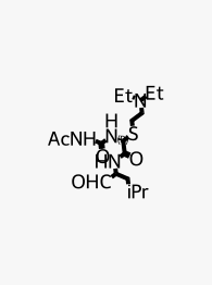 CCN(CC)CCS[C@@H](NC(=O)NC(C)=O)C(=O)NC(C=O)CC(C)C